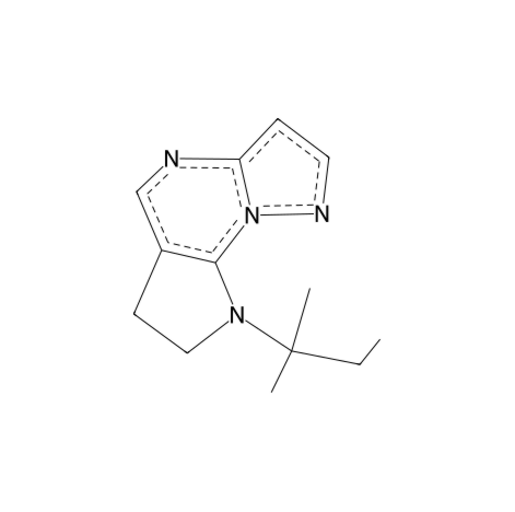 CCC(C)(C)N1CCc2cnc3ccnn3c21